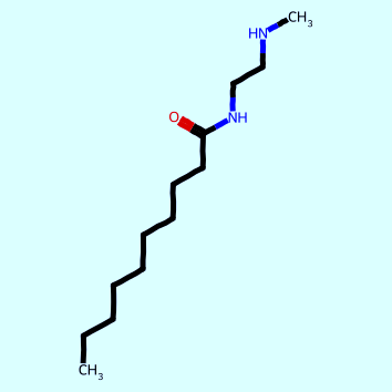 CCCCCCCCCC(=O)NCCNC